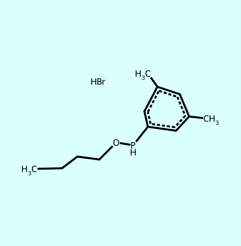 Br.CCCCOPc1cc(C)cc(C)c1